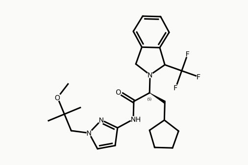 COC(C)(C)Cn1ccc(NC(=O)[C@H](CC2CCCC2)N2Cc3ccccc3C2C(F)(F)F)n1